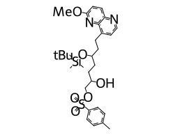 COc1ccc2nccc(CCC(CCC(O)COS(=O)(=O)c3ccc(C)cc3)O[Si](C)(C)C(C)(C)C)c2n1